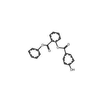 O=C(Oc1ccccc1C(=O)Oc1ccccc1)c1ccc(O)cc1